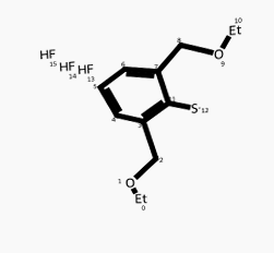 CCOCc1cccc(COCC)c1[S].F.F.F